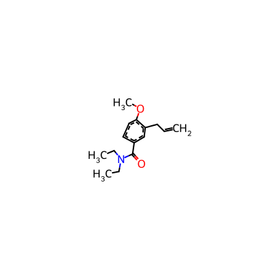 C=CCc1cc(C(=O)N(CC)CC)ccc1OC